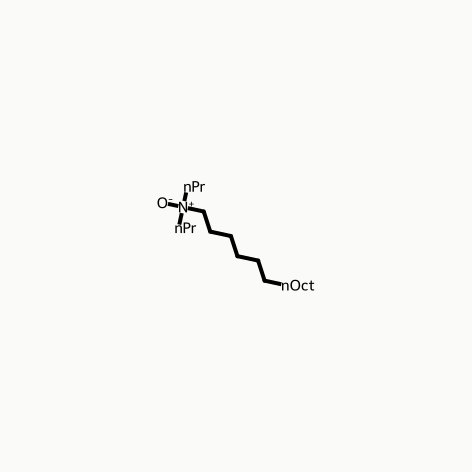 CCCCCCCCCCCCCC[N+]([O-])(CCC)CCC